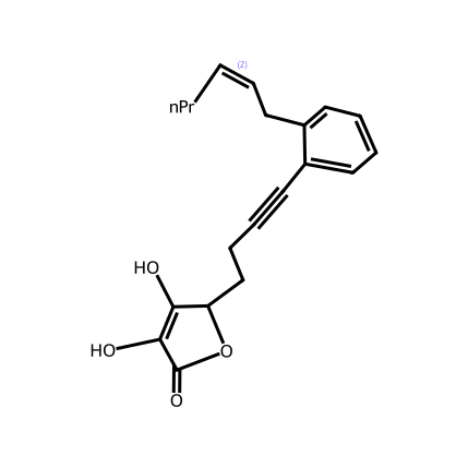 CCC/C=C\Cc1ccccc1C#CCCC1OC(=O)C(O)=C1O